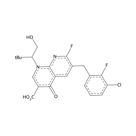 CC(C)(C)C(CO)n1cc(C(=O)O)c(=O)c2cc(Cc3cccc(Cl)c3F)c(F)nc21